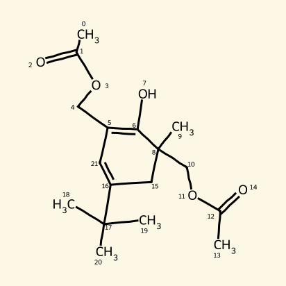 CC(=O)OCC1=C(O)C(C)(COC(C)=O)CC(C(C)(C)C)=C1